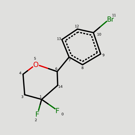 FC1(F)CCOC(c2ccc(Br)cc2)C1